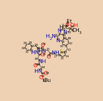 CCOCc1nc2c(N)nc3cc(Cc4ccc(CNC(=O)CNC(=O)[C@H](Cc5ccccc5)NC(=O)CNC(=O)CNC(=O)OC(C)(C)C)s4)ccc3c2n1CC(C)(C)O